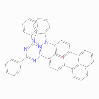 c1ccc(-c2nc(-c3ccccc3)nc(-c3ccc(-c4cccc5cccc(-c6ccc(-n7nnc8ccccc87)cc6)c45)cc3)n2)cc1